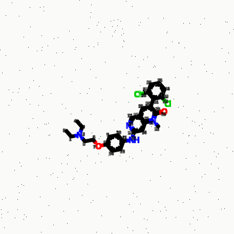 CCN(CC)CCOc1ccc(Nc2cc3c(cn2)cc(-c2c(Cl)cccc2Cl)c(=O)n3C)cc1